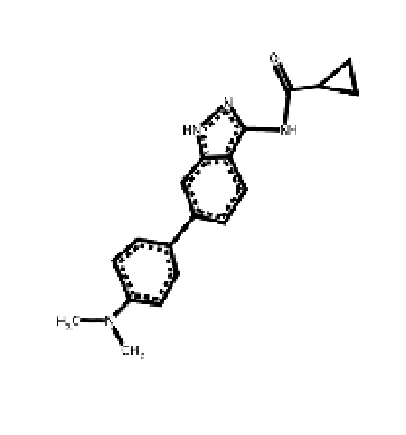 CN(C)c1ccc(-c2ccc3c(NC(=O)C4CC4)n[nH]c3c2)cc1